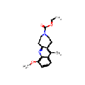 CCOC(=O)N1CCc2nc3c(OC)cccc3c(C)c2CC1